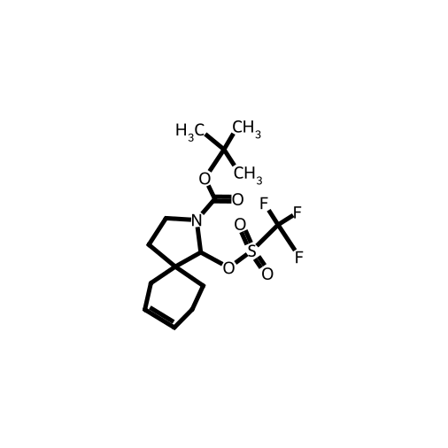 CC(C)(C)OC(=O)N1CCC2(CC=CCC2)C1OS(=O)(=O)C(F)(F)F